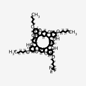 CCCCCOc1ccc(C2c3cc(c(O)cc3O)C(c3ccc(OCCCCC)cc3)c3cc(c(O)cc3O)C(c3ccc(OCCCCC(F)(F)F)cc3)c3cc(c(O)cc3O)C(c3ccc(OCCCCC)cc3)c3cc2c(O)cc3O)cc1